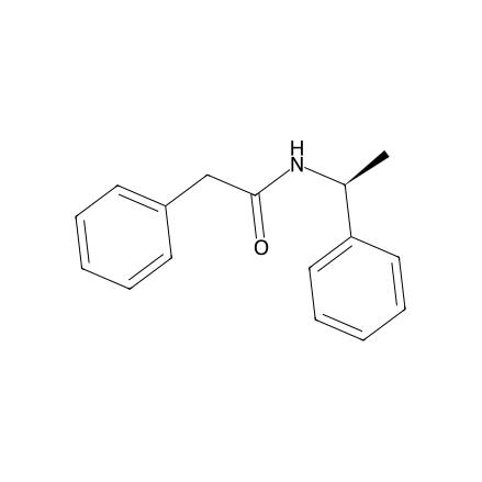 C[C@H](NC(=O)Cc1ccccc1)c1ccccc1